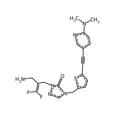 CN(C)c1ccc(C#Cc2ccc(Cn3cnn(CC(CN)=C(F)F)c3=O)s2)cn1